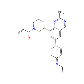 Bc1ncc2cc(C(C)/C=C\C(C)=N/CC)cc(C3CCCN(C(=O)C=C)C3)c2n1